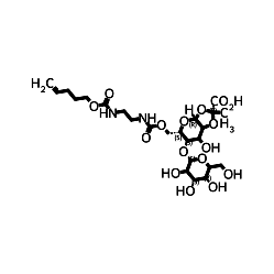 C=CCCCOC(=O)NCCNC(=O)OC[C@@H]1O[C@@H]2O[C@](C)(C(=O)O)OC2C(O)[C@@H]1O[C@@H]1OC(CO)[C@H](O)[C@H](O)C1O